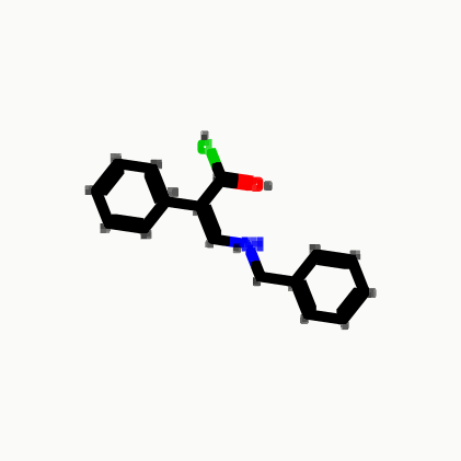 O=C(Cl)C(=CNCc1ccccc1)c1ccccc1